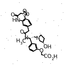 CN(C(=O)Cc1ccc2c(c1)NC(=O)CS2(=O)=O)[C@H](CN1CC[C@H](O)C1)c1cccc(OCC(=O)O)c1